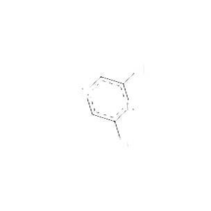 C[CH]c1cncc(Cl)n1